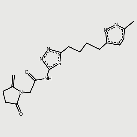 C=C1CCC(=O)N1CC(=O)Nc1nnc(CCCCc2ccc(C)nn2)s1